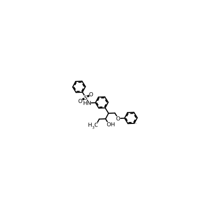 CCC(O)C(COc1c[c]ccc1)c1cccc(NS(=O)(=O)c2ccccc2)c1